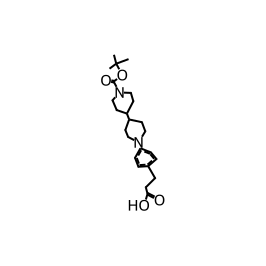 CC(C)(C)OC(=O)N1CCC(C2CCN(c3ccc(CCC(=O)O)cc3)CC2)CC1